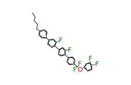 CCCCCc1ccc(-c2ccc(-c3ccc(-c4ccc(C(F)(F)Oc5ccc(F)c(F)c5)cc4)c(F)c3)c(F)c2)cc1